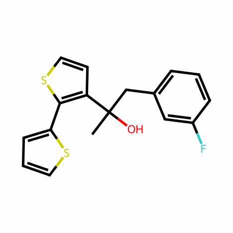 CC(O)(Cc1cccc(F)c1)c1ccsc1-c1cccs1